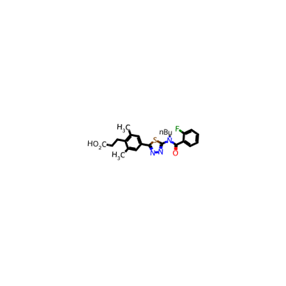 CCCCN(C(=O)c1ccccc1F)c1nnc(-c2cc(C)c(CCC(=O)O)c(C)c2)s1